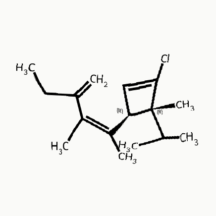 C=C(CC)C(C)=C(C)[C@H]1C=C(Cl)[C@]1(C)C(C)C